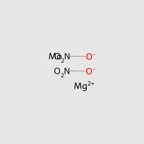 O=[N+]([O-])[O-].O=[N+]([O-])[O-].[Mg+2].[Mo]